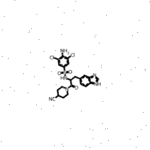 N#CC1CCN(C(=O)C(Cc2ccc3[nH]cnc3c2)NS(=O)(=O)c2cc(Cl)c(N)c(Cl)c2)CC1